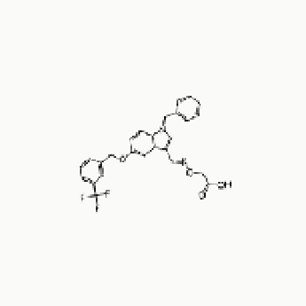 O=C(O)CON=Cc1cn(Cc2ccccc2)c2ccc(OCc3cccc(C(F)(F)F)c3)cc12